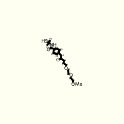 COCCOCCOCCCC(=O)Cc1ccc(C(=O)NC(C)(C)S)cc1